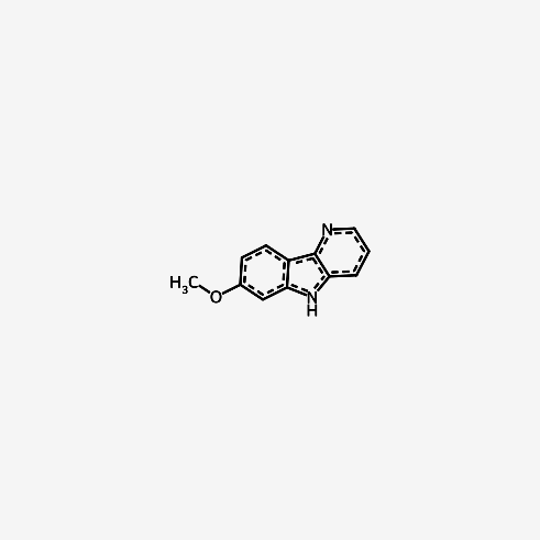 COc1ccc2c(c1)[nH]c1cccnc12